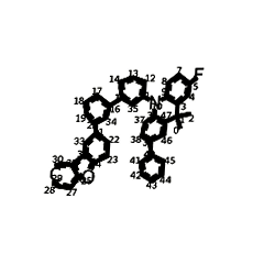 CC1(C)c2cc(F)ccc2N(c2cccc(-c3cccc(-c4ccc5oc6ccccc6c5c4)c3)c2)c2ccc(-c3ccccc3)cc21